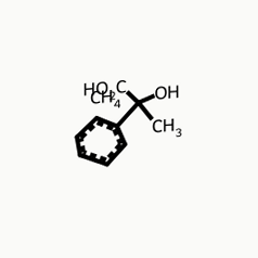 C.CC(O)(C(=O)O)c1ccccc1